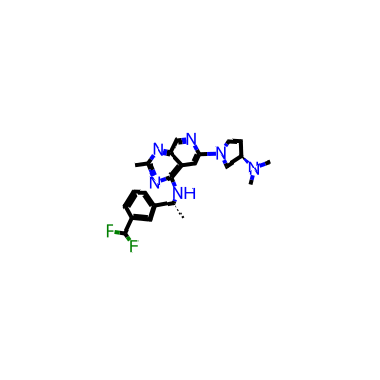 Cc1nc(N[C@H](C)c2cccc(C(F)F)c2)c2cc(N3CC[C@@H](N(C)C)C3)ncc2n1